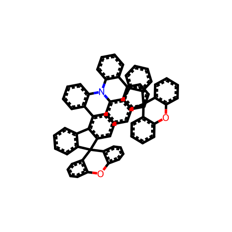 c1ccc(-c2ccccc2N(c2ccccc2-c2cccc3c2-c2ccccc2C32c3ccccc3Oc3ccccc32)c2cccc3c2-c2ccccc2C32c3ccccc3Oc3ccccc32)cc1